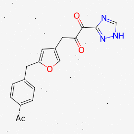 CC(=O)c1ccc(Cc2cc(CC(=O)C(=O)c3nc[nH]n3)co2)cc1